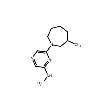 CNc1cncc(N2CCCCC(C)C2)n1